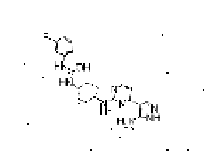 Nc1[nH]ncc1-c1ccnc(NC2CCC(NC(O)Nc3cccc(F)c3)CC2)n1